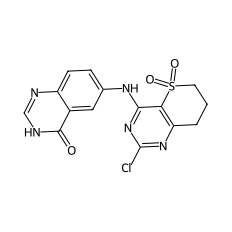 O=c1[nH]cnc2ccc(Nc3nc(Cl)nc4c3S(=O)(=O)CCC4)cc12